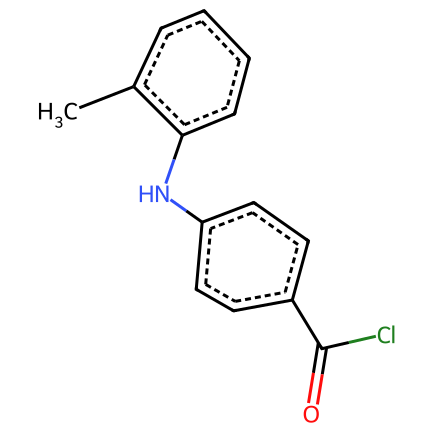 Cc1ccccc1Nc1ccc(C(=O)Cl)cc1